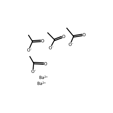 CC(=O)[O-].CC(=O)[O-].CC(=O)[O-].CC(=O)[O-].[Ba+2].[Ba+2]